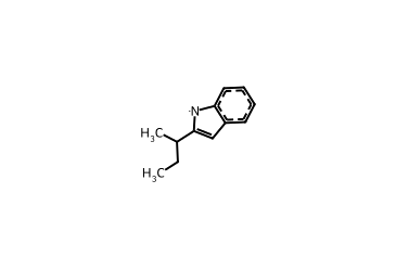 CCC(C)C1=Cc2ccccc2[N]1